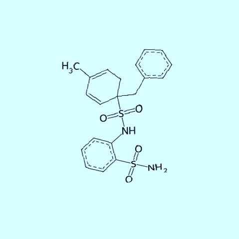 CC1=CCC(Cc2ccccc2)(S(=O)(=O)Nc2ccccc2S(N)(=O)=O)C=C1